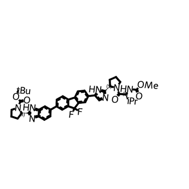 COC(=O)N[C@H](C(=O)N1CCC[C@H]1c1ncc(-c2ccc3c(c2)C(F)(F)c2cc(-c4ccc5nc([C@@H]6CCCN6C(=O)OC(C)(C)C)[nH]c5c4)ccc2-3)[nH]1)C(C)C